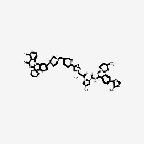 Cc1ncsc1-c1ccc([C@H](CN2CCC(C(=O)O)CC2)NC(=O)[C@@H]2C[C@@H](O)CN2C(=O)[C@@H](n2cc(C3CCC(CN4CCC(c5ccc6c(c5)-n5c(nc(=O)c7c(Cl)cccc75)C65CCCCC5)CC4)CC3)nn2)C(C)(C)C)cc1